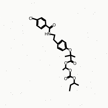 CCC(C)OC(=O)OC(C)OC(=O)C(C)(C)Oc1ccc(CCNC(=O)c2ccc(Cl)cc2)cc1